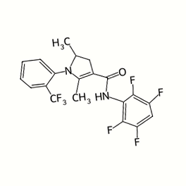 CC1=C(C(=O)Nc2c(F)c(F)cc(F)c2F)CC(C)N1c1ccccc1C(F)(F)F